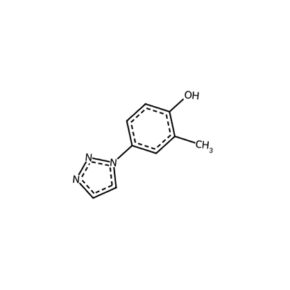 Cc1cc(-n2ccnn2)ccc1O